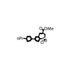 CCCc1ccc(-c2ccc3c(c2)C=C(C(=O)OC)CCS3(=O)=O)cc1